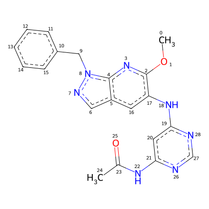 COc1nc2c(cnn2Cc2ccccc2)cc1Nc1cc(NC(C)=O)ncn1